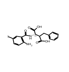 Nc1ccc(I)cc1C(=O)N[C@H](C(=O)O)C(Cc1ccccc1)C(=O)O